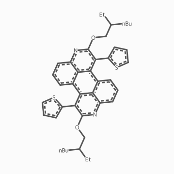 CCCCC(CC)COc1nc2cccc3c4c(-c5cccs5)c(OCC(CC)CCCC)nc5cccc(c(c1-c1cccs1)c23)c54